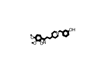 COc1ccc2c(CCC3CCN(Cc4cccc(O)c4)CC3)noc2c1OC